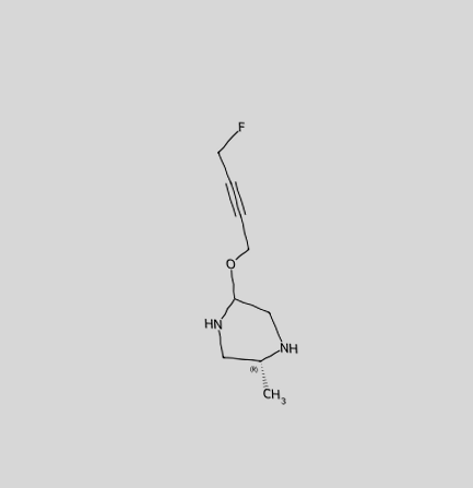 C[C@@H]1CNC(OCC#CCF)CN1